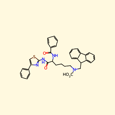 O=C(NC(CCCCN(CC1c2ccccc2-c2ccccc21)C(=O)O)C(=O)Nc1nc(-c2ccccc2)cs1)c1ccccc1